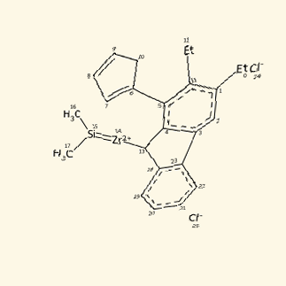 CCc1cc2c(c(C3=CC=CC3)c1CC)[CH]([Zr+2]=[Si](C)C)c1ccccc1-2.[Cl-].[Cl-]